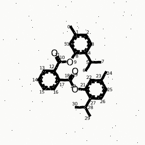 Cc1ccc(C(C)C)c(OC(=O)c2ccccc2C(=O)Oc2cc(C)ccc2C(C)C)c1